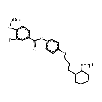 CCCCCCCCCCOc1ccc(C(=O)Oc2ccc(OCCCC3CCCCC3CCCCCCC)cc2)cc1F